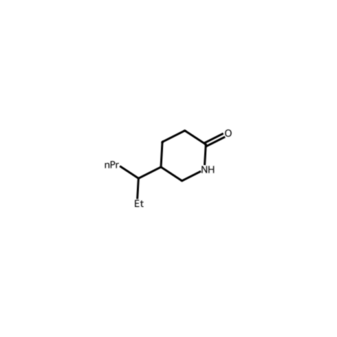 CCCC(CC)C1CCC(=O)NC1